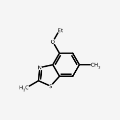 CCOc1cc(C)cc2sc(C)nc12